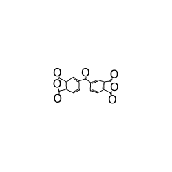 O=C(C1=CC2C(=O)OC(=O)C2C=C1)c1ccc2c(c1)C(=O)OC2=O